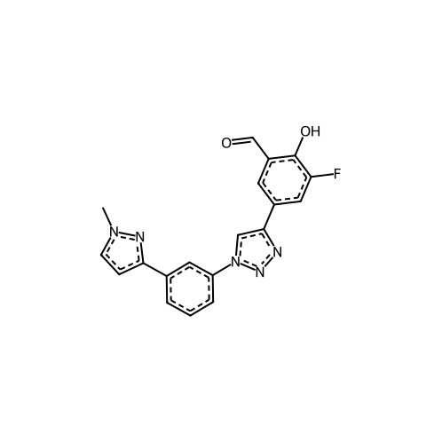 Cn1ccc(-c2cccc(-n3cc(-c4cc(F)c(O)c(C=O)c4)nn3)c2)n1